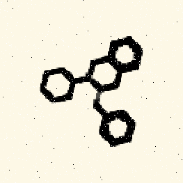 c1ccc(C[C@H]2Cc3ccccc3CN2C2CCCCC2)cc1